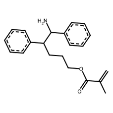 C=C(C)C(=O)OCCCC(c1ccccc1)C(N)c1ccccc1